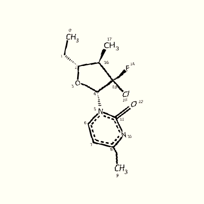 CC[C@H]1O[C@@H](n2ccc(C)nc2=O)[C@@](F)(Cl)[C@@H]1C